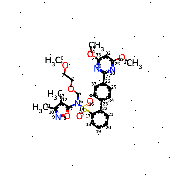 COCCOCN(c1onc(C)c1C)S(=O)(=O)c1ccccc1-c1ccc(-c2nc(OC)cc(OC)n2)cc1